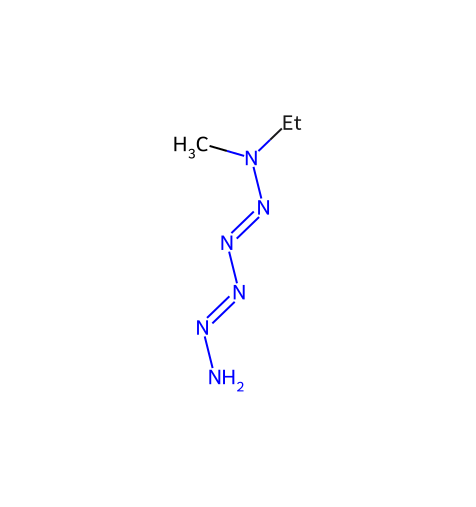 CCN(C)N=NN=NN